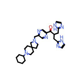 O=C(c1cnc(CN2CCC3(CCN(C4CCCCC4)CC3)C2)cn1)C(Cc1ncc[nH]1)Cc1ncc[nH]1